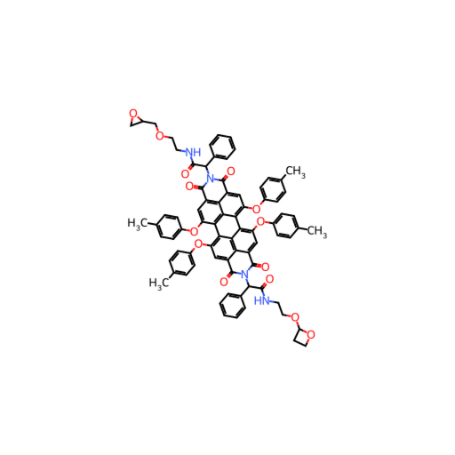 Cc1ccc(Oc2cc3c4c(cc(Oc5ccc(C)cc5)c5c6c(Oc7ccc(C)cc7)cc7c8c(cc(Oc9ccc(C)cc9)c(c2c45)c86)C(=O)N(C(C(=O)NCCOC2CCO2)c2ccccc2)C7=O)C(=O)N(C(C(=O)NCCOCC2CO2)c2ccccc2)C3=O)cc1